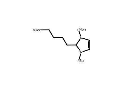 CCCCCCCCCCCCCCC1N(CCCC)C=CN1CCCCCCCCC